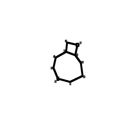 C1CSCCC2COC2C1